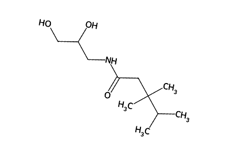 CC(C)C(C)(C)CC(=O)NCC(O)CO